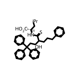 CC(C)C[C@H](NC(=S)C(CCCc1ccccc1)C(O)CC(c1ccccc1)(c1ccccc1)c1ccccc1)C(=O)O